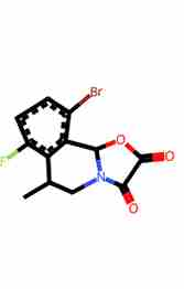 CC1CN2C(=O)C(=O)OC2c2c(Br)ccc(F)c21